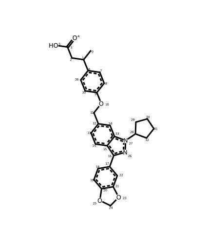 CC(CC(=O)O)c1ccc(OCc2ccc3c(-c4ccc5c(c4)OCO5)nn(C4CCCC4)c3c2)cc1